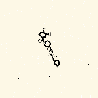 O=C(C1=CC(Cl)=C(Cl)CC1)N1CCCC(F)(CNCCOCC2C=C(F)C=CC2)CC1